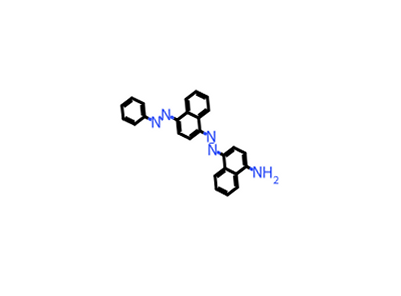 Nc1ccc(/N=N/c2ccc(/N=N/c3ccccc3)c3ccccc23)c2ccccc12